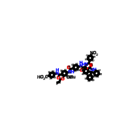 C=CCOc1c(C(=O)Nc2ccc(C(=O)O)cc2)ccc(NC(=O)c2ccc(NC(=O)[C@H](CC(=O)NC(c3ccccc3)(c3ccccc3)c3ccccc3)NC(=O)c3ccc([N+](=O)[O-])cc3)cc2)c1OCC(C)C